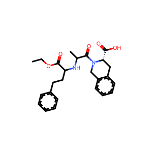 CCOC(=O)C(CCc1ccccc1)NC(C)C(=O)N1Cc2ccccc2C[C@H]1C(=O)O